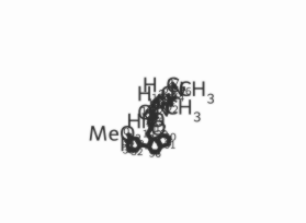 COc1cc(-c2ccc3c(c2CC(=O)NS(=O)(=O)c2ccn(C(C)(C)CN(C)C)n2)CCC3)ccn1